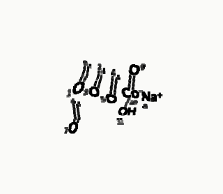 [C]=O.[C]=O.[C]=O.[C]=O.[Na+].[O]=[Co-][OH]